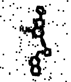 Nc1nc(C#C[C@H]2CCCN2Cc2cnc3ccccc3c2)cn2nc(-c3ccco3)nc12